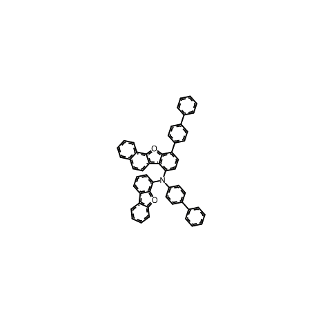 c1ccc(-c2ccc(-c3ccc(N(c4ccc(-c5ccccc5)cc4)c4cccc5c4oc4ccccc45)c4c3oc3c5ccccc5ccc34)cc2)cc1